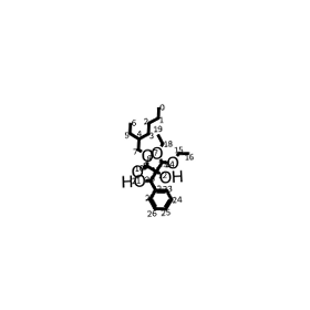 CCCCC(CC)COC(=O)C(O)(C(OCC)OCC)C(O)c1ccccc1